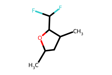 CC1CC(C)C(C(F)F)O1